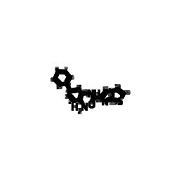 Nc1ccc(-c2ccccc2)cc1NC(=O)c1cn2ccsc2n1